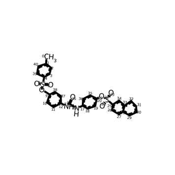 Cc1ccc(S(=O)(=O)Oc2ccc(NC(=O)Nc3ccc(OS(=O)(=O)c4ccc5ccccc5c4)cc3)cc2)cc1